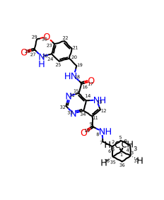 CC1(C)[C@H]2CCC(CNC(=O)c3c[nH]c4c(C(=O)NCc5ccc6c(c5)NC(=O)CO6)ncnc34)[C@@H]1C2